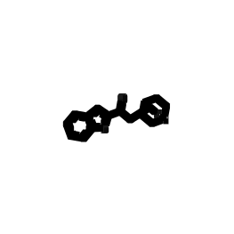 O=C(CC1CN2CCC1CC2)c1cc2ccccc2s1